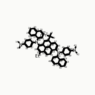 CCCC(C)(C)c1cc2c(N(c3ccc(N(C)C)cc3)c3cccc4ccccc34)cc(CC)c3ccc4c(N(c5ccc(N(C)C)cc5)c5cccc6ccccc56)ccc1c4c32